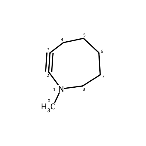 CN1C#CCCCCC1